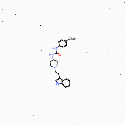 COc1ccc(NC(=O)NC2CCN(CCc3c[nH]c4ccccc34)CC2)cc1